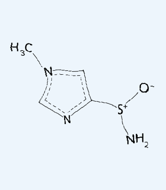 Cn1cnc([S+](N)[O-])c1